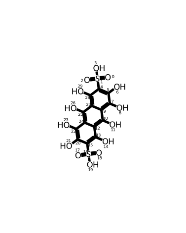 O=S(=O)(O)c1c(O)c(O)c2c(O)c3c(O)c(S(=O)(=O)O)c(O)c(O)c3c(O)c2c1O